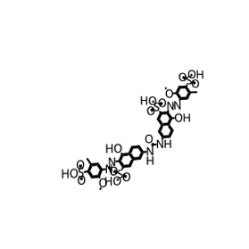 COc1cc(S(=O)(=O)O)c(C)cc1N=Nc1c(S(=O)(=O)O)cc2cc(NC(=O)Nc3ccc4c(O)c(N=Nc5cc(C)c(S(=O)(=O)O)cc5OC)c(S(=O)(=O)O)cc4c3)ccc2c1O